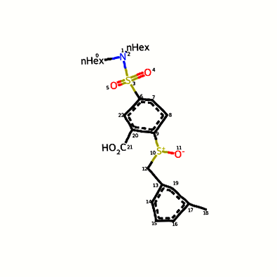 CCCCCCN(CCCCCC)S(=O)(=O)c1ccc([S+]([O-])Cc2cccc(C)c2)c(C(=O)O)c1